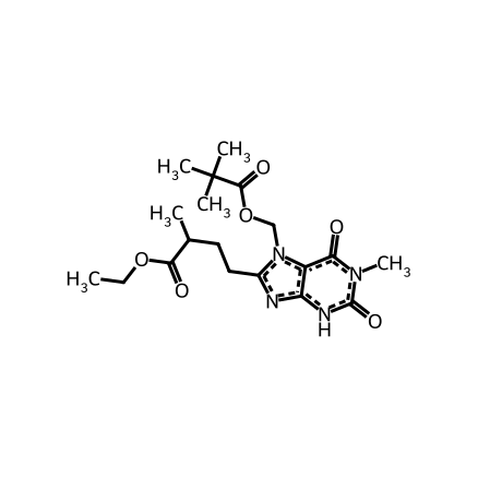 CCOC(=O)C(C)CCc1nc2[nH]c(=O)n(C)c(=O)c2n1COC(=O)C(C)(C)C